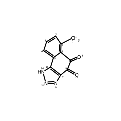 Cc1cccc2c1C(=O)C(=O)c1nn[nH]c1-2